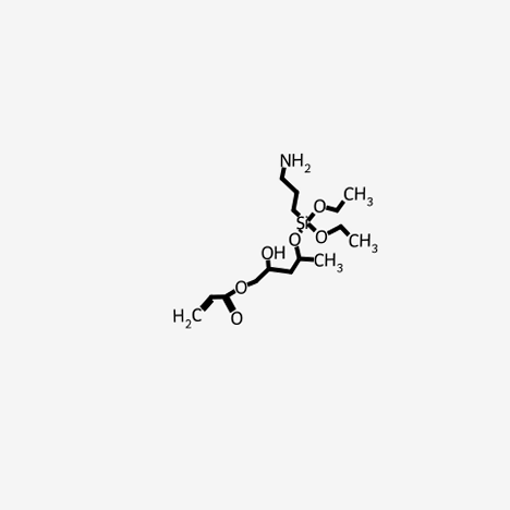 C=CC(=O)OCC(O)CC(C)O[Si](CCCN)(OCC)OCC